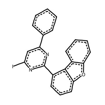 Ic1cc(-c2ccccc2)nc(-c2cccc3oc4ccccc4c23)n1